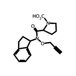 C#CCON(C(=O)C1CCCN1C(=O)O)C1CCc2ccccc21